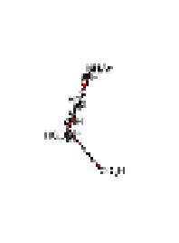 CC(=O)NCCNC(=O)COCCOCCNC(=O)COCCOCCNC(=O)CCC(NC(=O)CCCCCCCCCCCCCCCCC(=O)O)C(=O)O